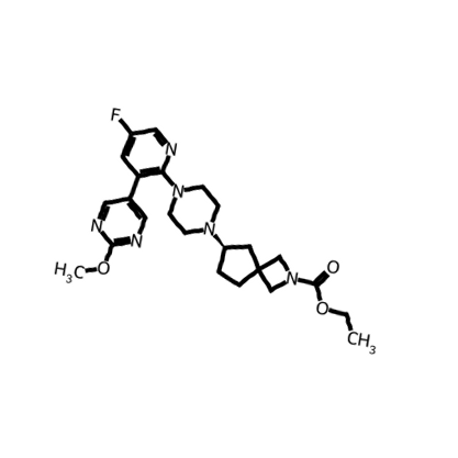 CCOC(=O)N1CC2(CC[C@@H](N3CCN(c4ncc(F)cc4-c4cnc(OC)nc4)CC3)C2)C1